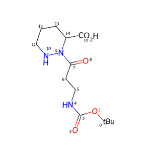 CC(C)(C)OC(=O)NCCC(=O)N1NCCCC1C(=O)O